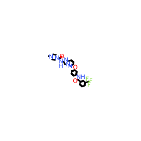 CN1CCN(C(=O)NC2CN3N=C(Oc4cccc(NC(=O)c5cccc(C(F)(F)F)c5)c4)C=CC3=N2)CC1